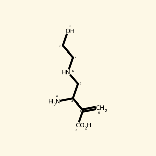 C=C(C(=O)O)C(N)CNCCO